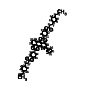 CCCc1ccc(CCC(=O)O[C@H]2CC[C@H](C(=O)Oc3c4ccccc4c(OC(=O)[C@H]4CC[C@H](OC(=O)CCc5ccc(CCC)cc5)CC4)c4nc(-c5cccs5)ccc34)CC2)cc1